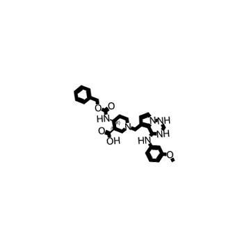 COc1cccc(NC2NCNn3ccc(CN4CC[C@@H](NC(=O)OCc5ccccc5)[C@H](C(=O)O)C4)c32)c1